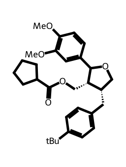 COc1ccc(C2OC[C@H](Cc3ccc(C(C)(C)C)cc3)[C@@H]2COC(=O)C2CCCC2)cc1OC